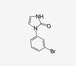 O=c1[nH]ccn1-c1cccc(Br)c1